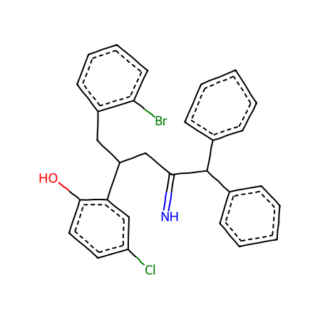 N=C(CC(Cc1ccccc1Br)c1cc(Cl)ccc1O)C(c1ccccc1)c1ccccc1